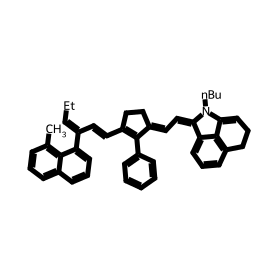 CC/C=C(\C=C\C1=C(c2ccccc2)C(=C/C=c2\c3cccc4c3c(n2CCCC)=CCC4)/CC1)c1cccc2cccc(C)c12